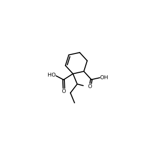 CCC(C)C1(C(=O)O)C=CCCC1C(=O)O